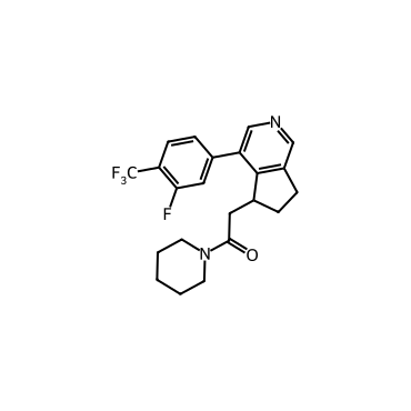 O=C(CC1CCc2cncc(-c3ccc(C(F)(F)F)c(F)c3)c21)N1CCCCC1